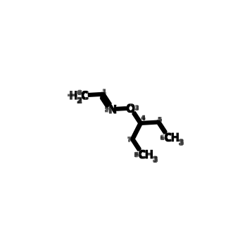 [CH2]C=NOC(CC)CC